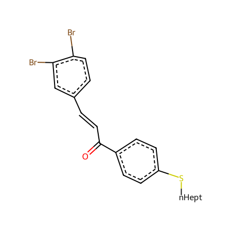 CCCCCCCSc1ccc(C(=O)/C=C/c2ccc(Br)c(Br)c2)cc1